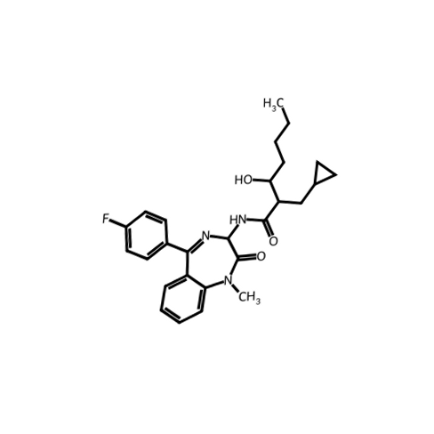 CCCCC(O)C(CC1CC1)C(=O)NC1N=C(c2ccc(F)cc2)c2ccccc2N(C)C1=O